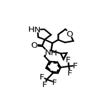 O=C(NCc1cc(C(F)(F)F)cc(C(F)(F)F)c1)C1(C(CC2CC2)C2CCOCC2)CCNC1